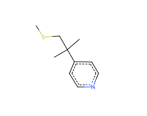 CSCC(C)(C)c1ccncc1